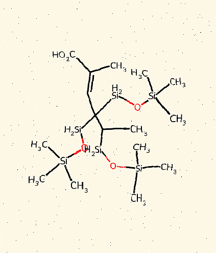 C/C(=C\C([SiH2]O[Si](C)(C)C)([SiH2]O[Si](C)(C)C)C(C)[SiH2]O[Si](C)(C)C)C(=O)O